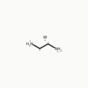 NCCN.[W]